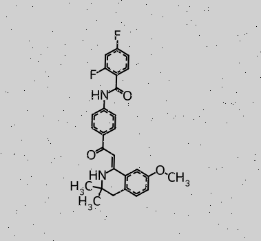 COc1ccc2c(c1)C(=CC(=O)c1ccc(NC(=O)c3ccc(F)cc3F)cc1)NC(C)(C)C2